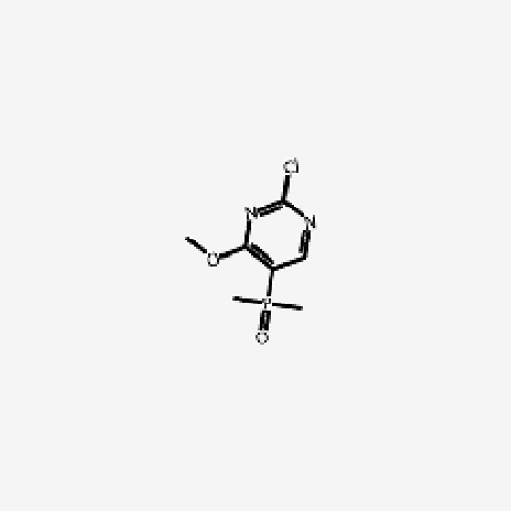 COc1nc(Cl)ncc1P(C)(C)=O